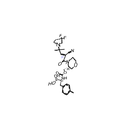 Cc1ccc(C[C@H](NC(=O)OC[C@H]2COCCN2C(=O)/C(C#N)=C/C(C)(C)N2CCC(F)(F)C2)B(O)O)cc1